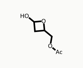 CC(=O)OCC1CC(O)O1